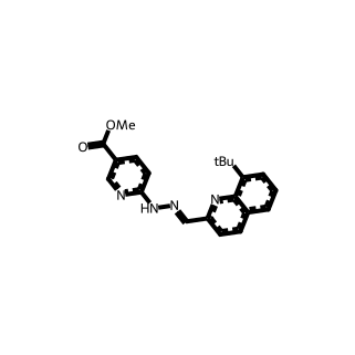 COC(=O)c1ccc(NN=Cc2ccc3cccc(C(C)(C)C)c3n2)nc1